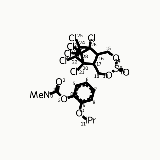 CNC(=O)Oc1ccccc1OC(C)C.O=S1OCC2C(CO1)C1(Cl)C(Cl)=C(Cl)C2(Cl)C1(Cl)Cl